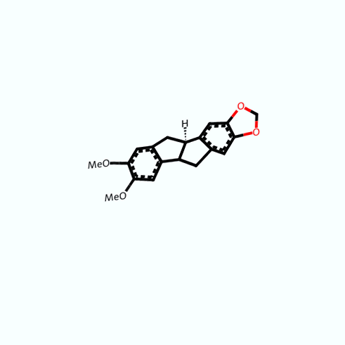 COc1cc2c(cc1OC)C1Cc3cc4c(cc3[C@@H]1C2)OCO4